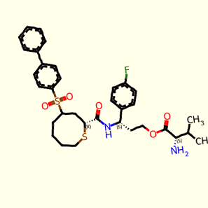 CC(C)[C@H](N)C(=O)OCC[C@H](NC(=O)[C@H]1CC(S(=O)(=O)c2ccc(-c3ccccc3)cc2)CCCCS1)c1ccc(F)cc1